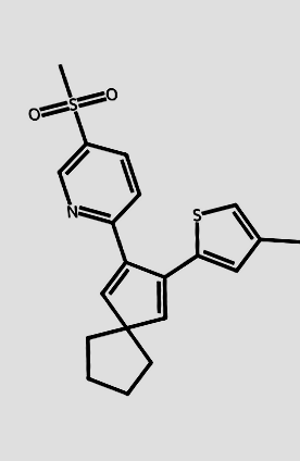 Cc1csc(C2=CC3(C=C2c2ccc(S(C)(=O)=O)cn2)CCCC3)c1